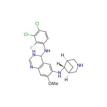 COc1cc2c(cc1N[C@H]1[C@@H]3CNC[C@H]1C3)C(Nc1ccc(Cl)c(Cl)c1F)NC=N2